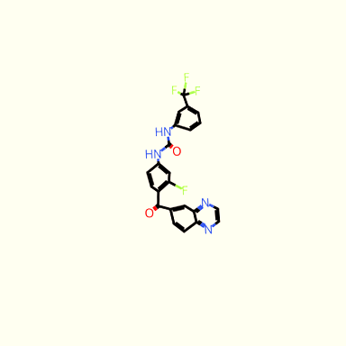 O=C(Nc1cccc(C(F)(F)F)c1)Nc1ccc(C(=O)c2ccc3nccnc3c2)c(F)c1